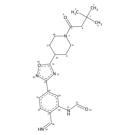 CC(C)(C)CC(=O)N1CCC(c2nc(-c3ccc(C=N)c(NC=O)c3)no2)CC1